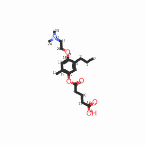 CCCc1cc(OC(=O)CCCC(=O)O)c(C)cc1OCCN(C)C